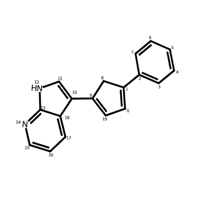 C1=C(c2ccccc2)CC(c2c[nH]c3ncccc23)=C1